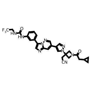 N#CCC1(n2cc(-c3cnn4c(-c5cccc(NC(=O)NCC(F)(F)F)c5)cnc4c3)cn2)CN(C(=O)CC2CC2)C1